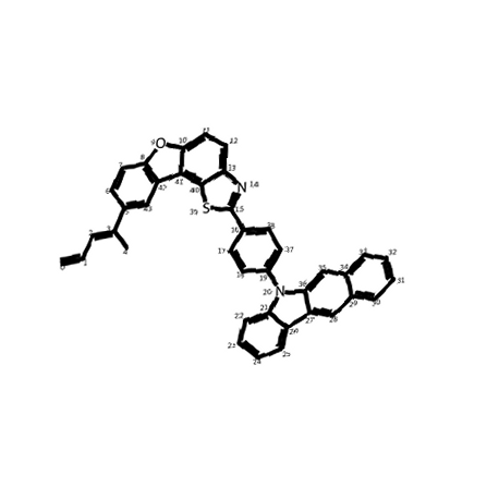 C=C/C=C(\C)c1ccc2oc3ccc4nc(-c5ccc(-n6c7ccccc7c7cc8ccccc8cc76)cc5)sc4c3c2c1